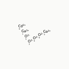 [Cd+2].[Ga+3].[Ga+3].[O-2].[O-2].[O-2].[O-2]